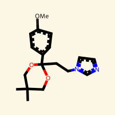 COc1ccc(C2(CCn3ccnc3)OCC(C)(C)CO2)cc1